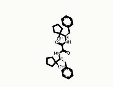 O=C(N[C@H](Cc1ccccc1)C1(O)CCCC1)C(=O)N[C@H](Cc1ccccc1)C1(O)CCCC1